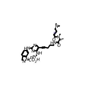 CCCNc1nc(Nc2ccc3cnn(C(=O)O)c3c2)ncc1C#CCCCNC(=O)[C@H](C)N(C)C(=O)/C=C/CN(C)C